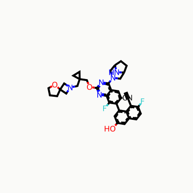 C#Cc1c(F)ccc2cc(O)cc(-c3c(C#N)cc4c(N5CC6CCC(C5)N6)nc(OCC5(CN6CC7(CCCO7)C6)CC5)nc4c3F)c12